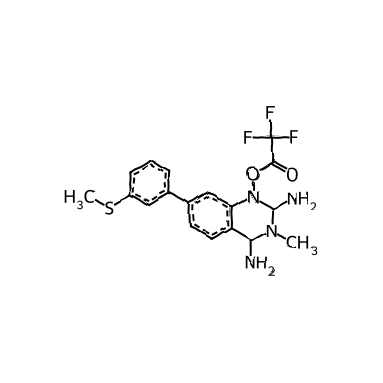 CSc1cccc(-c2ccc3c(c2)N(OC(=O)C(F)(F)F)C(N)N(C)C3N)c1